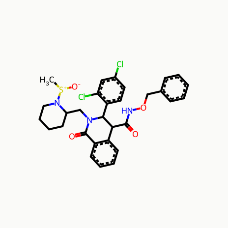 C[S+]([O-])N1CCCCC1CN1C(=O)c2ccccc2C(C(=O)NOCc2ccccc2)C1c1ccc(Cl)cc1Cl